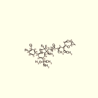 C=C/C(OC1CC1)=C(\C=C(/C)C(=O)NCC(N)(c1cc(C(C)(C)N)cc(-c2ccc(F)c(Cl)c2)n1)C(F)(F)F)OC